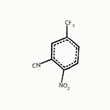 [C-]#[N+]c1cc(C(F)(F)F)ccc1[N+](=O)[O-]